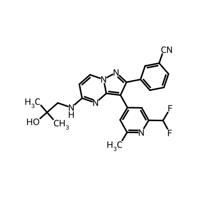 Cc1cc(-c2c(-c3cccc(C#N)c3)nn3ccc(NCC(C)(C)O)nc23)cc(C(F)F)n1